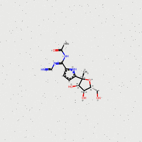 CCCCC(=O)N/C(=N/C=N)c1ccc([C@]2(C)O[C@H](CO)[C@@H](O)[C@H]2O)[nH]1